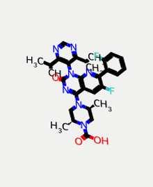 CC(C)c1ncnc(C(C)C)c1-n1c(=O)nc(N2C[C@@H](C)N(C(=O)O)C[C@@H]2C)c2cc(F)c(-c3ccccc3F)nc21